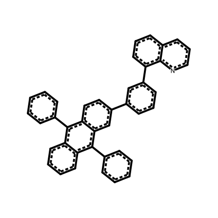 c1ccc(-c2c3ccccc3c(-c3ccccc3)c3cc(-c4cccc(-c5cccc6cccnc56)c4)ccc23)cc1